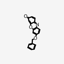 O=c1ccc2nc3ccc(OCc4ccccc4)cc3oc-2c1